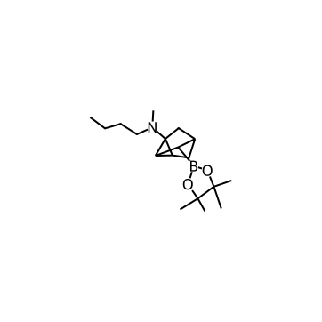 CCCCN(C)C12CC3CC1C2C3B1OC(C)(C)C(C)(C)O1